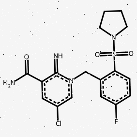 N=c1c(C(N)=O)cc(Cl)cn1Cc1cc(F)ccc1S(=O)(=O)N1CCCC1